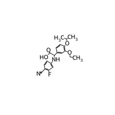 CCOc1cc(C(Nc2ccc(C#N)c(F)c2)C(=O)O)ccc1OC(C)C